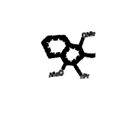 [CH2]CCc1c(C)c(OC)c2ccccc2c1OC